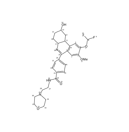 COc1cc2c(cc1OC(F)F)C1CC(O)CCC1N=C2c1ccc(C(=O)NCCN2CCOCC2)cc1